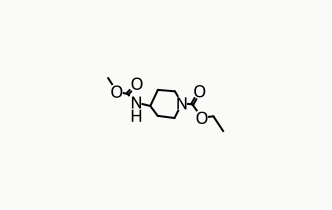 CCOC(=O)N1CCC(NC(=O)OC)CC1